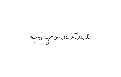 C=C(C)COCC(O)CO[CH]COCC(O)COCC(=C)C